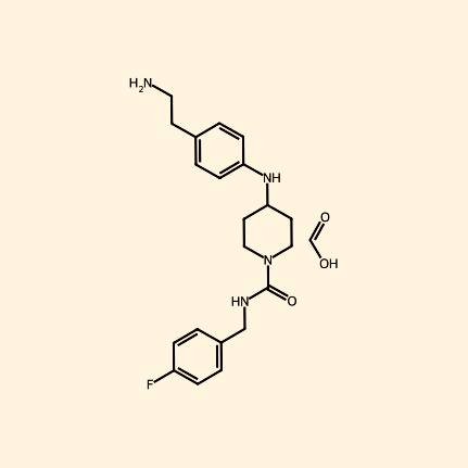 NCCc1ccc(NC2CCN(C(=O)NCc3ccc(F)cc3)CC2)cc1.O=CO